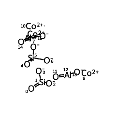 O=[Si]([O-])[O-].O=[Si]([O-])[O-].[Co+2].[Co+2].[Co+2].[O]=[Al][O-].[O]=[Al][O-]